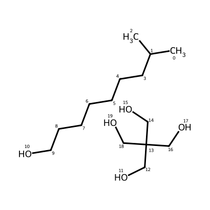 CC(C)CCCCCCCO.OCC(CO)(CO)CO